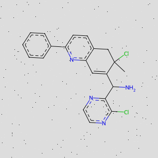 CC1(Cl)Cc2ccc(-c3ccccc3)nc2C=C1C(N)c1nccnc1Cl